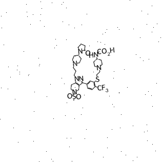 CS(=O)(=O)N1CCc2c(c(-c3ccc(C(F)(F)F)c(SCCN4CCC(NC(=O)O)CC4)c3)nn2CCCN2CCC(N3CCCC3=O)CC2)C1